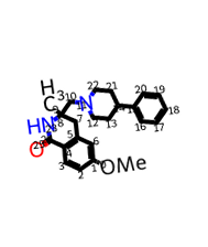 COc1ccc2c(c1)CC(C)(CN1CCC(c3ccccc3)CC1)NC2=O